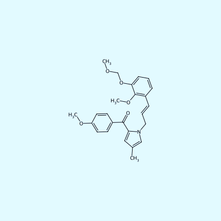 COCOc1cccc(/C=C/Cn2cc(C)cc2C(=O)c2ccc(OC)cc2)c1OC